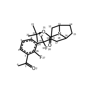 CC(=O)c1cccc(C(F)(F)C2CC3CCC(C2)N3C(=O)OC(C)(C)C)c1F